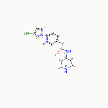 O=C(Cc1ccc(-n2cc(Cl)cn2)nc1)NC1CCNCC1